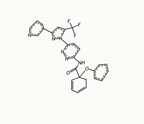 O=C(Nc1ccc(-n2nc(-c3cccnc3)cc2C(F)(F)F)nn1)C1(Oc2ccccc2)C=CC=CC1